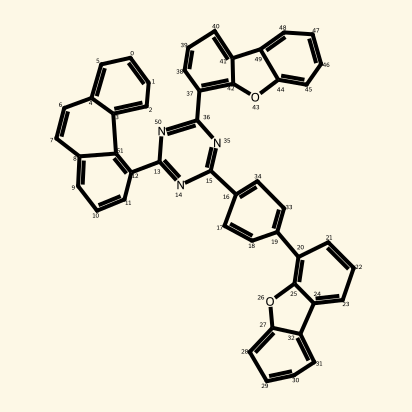 c1ccc2c(c1)ccc1cccc(-c3nc(-c4ccc(-c5cccc6c5oc5ccccc56)cc4)nc(-c4cccc5c4oc4ccccc45)n3)c12